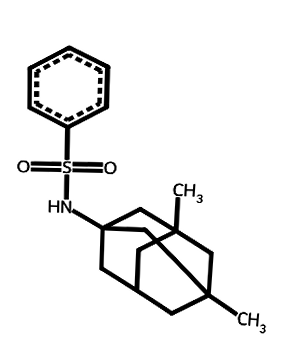 CC12CC3CC(C)(C1)CC(NS(=O)(=O)c1ccccc1)(C3)C2